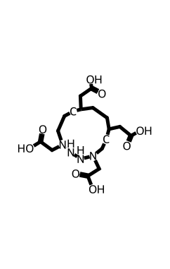 O=C(O)CC1CCCN(CC(=O)O)NNN(CC(=O)O)CCC(CC(=O)O)CC1